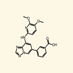 COc1ccc(Nc2cc(-c3cccc(C(=O)O)c3)cn3ncnc23)nc1OC